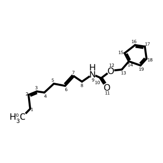 CC/C=C\CC/C=C/CNC(=O)OCc1ccccc1